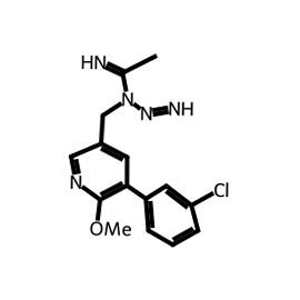 COc1ncc(CN(N=N)C(C)=N)cc1-c1cccc(Cl)c1